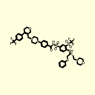 O=C(NS(=O)(=O)c1ccc(N[C@H](CCN2CCOCC2)CSc2ccccc2)c(S(=O)(=O)C(F)(F)F)c1)c1ccc(N2CCN(CC3=C(c4ccc(C(F)(F)F)cc4)CCOC3)CC2)cc1